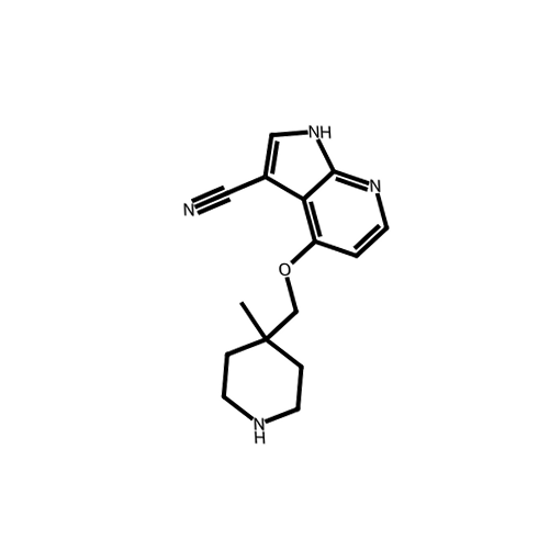 CC1(COc2ccnc3[nH]cc(C#N)c23)CCNCC1